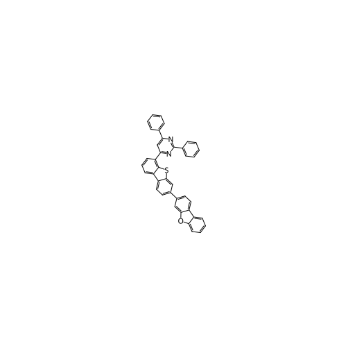 c1ccc(-c2cc(-c3cccc4c3sc3cc(-c5ccc6c(c5)oc5ccccc56)ccc34)nc(-c3ccccc3)n2)cc1